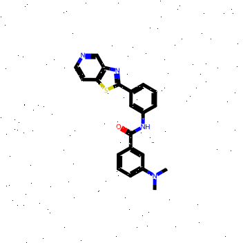 CN(C)c1cccc(C(=O)Nc2cccc(-c3nc4cnccc4s3)c2)c1